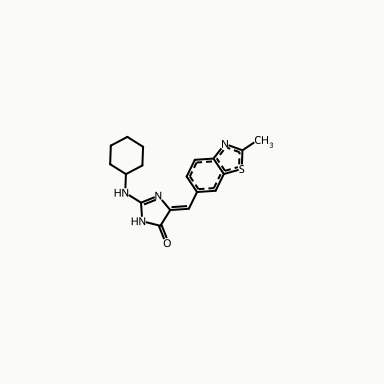 Cc1nc2ccc(/C=C3\N=C(NC4CCCCC4)NC3=O)cc2s1